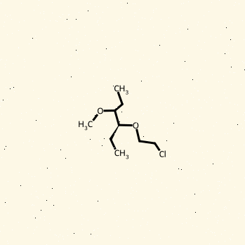 CCC(OC)[C@H](CC)OCCCl